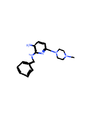 CN1CCN(c2ccc(N)c(NCc3ccccc3)n2)CC1